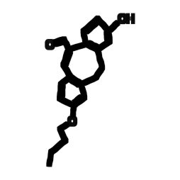 CCCCOc1ccc2c(c1)CCc1cc(O)ccc1/C(C=O)=C\2